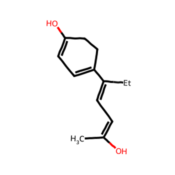 CC/C(=C\C=C(/C)O)C1=CC=C(O)CC1